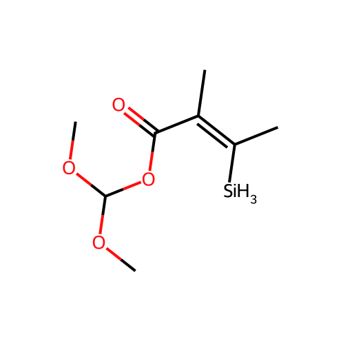 COC(OC)OC(=O)C(C)=C(C)[SiH3]